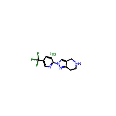 Cl.FC(F)(F)c1ccc(-n2cc3c(n2)CCNC3)nc1